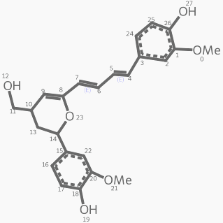 COc1cc(/C=C/C=C/C2=CC(CO)CC(c3ccc(O)c(OC)c3)O2)ccc1O